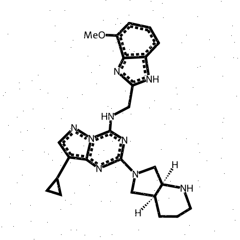 COc1cccc2[nH]c(CNc3nc(N4C[C@@H]5CCCN[C@@H]5C4)nc4c(C5CC5)cnn34)nc12